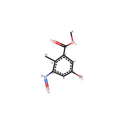 COC(=O)c1cc(Br)cc(N=O)c1C